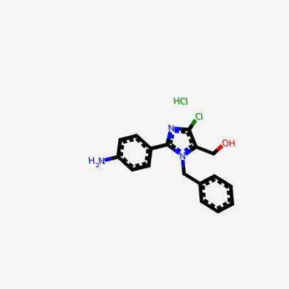 Cl.Nc1ccc(-c2nc(Cl)c(CO)n2Cc2ccccc2)cc1